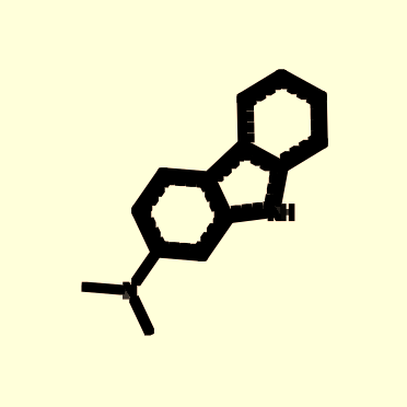 CN(C)c1ccc2c(c1)[nH]c1ccccc12